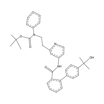 CC(C)(C)OC(=O)N(CCc1cc(NC(=O)c2ccccc2-c2ccc(C(C)(C)O)cc2)ccn1)c1ccccc1